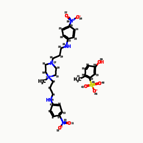 C[N+]1(CCCNc2ccc([N+](=O)[O-])cc2)CCN(CCCNc2ccc([N+](=O)[O-])cc2)CC1.Cc1ccc(O)cc1S(=O)(=O)[O-]